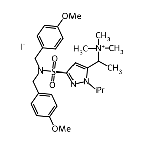 COc1ccc(CN(Cc2ccc(OC)cc2)S(=O)(=O)c2cc(C(C)[N+](C)(C)C)n(C(C)C)n2)cc1.[I-]